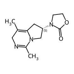 CC1=NCC(C)=C2C[C@H](N3CCOC3=O)CN12